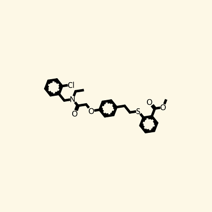 CCN(Cc1ccccc1Cl)C(=O)COc1ccc(CCSc2ccccc2C(=O)OC)cc1